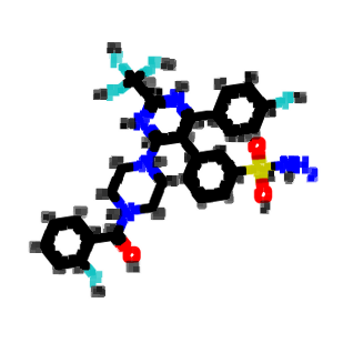 NS(=O)(=O)c1cccc(-c2c(-c3ccc(F)cc3)nc(C(F)(F)F)nc2N2CCN(C(=O)c3ccccc3F)CC2)c1